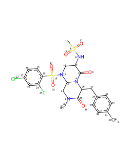 CC(C)N1CC2N(C(=O)C(NS(C)(=O)=O)CN2S(=O)(=O)c2ccc(Cl)cc2Cl)C(Cc2ccc(C(F)(F)F)cc2)C1=O